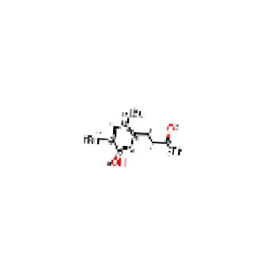 CCC(=O)CCc1cc(O)c(C(C)(C)C)cc1C(C)(C)C